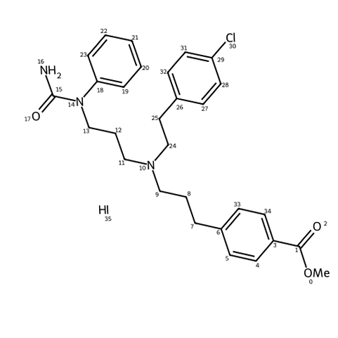 COC(=O)c1ccc(CCCN(CCCN(C(N)=O)c2ccccc2)CCc2ccc(Cl)cc2)cc1.I